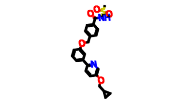 CS(=O)(=O)NC(=O)c1ccc(COc2cccc(-c3ccc(OCC4CC4)cn3)c2)cc1